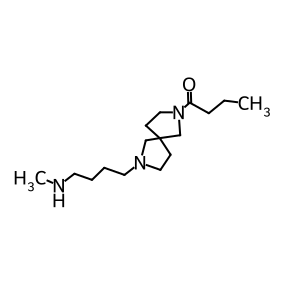 CCCC(=O)N1CCC2(CCN(CCCCNC)C2)C1